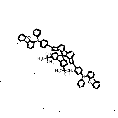 CC(C)(C)c1ccc2c(c1)-c1cc(C(C)(C)C)ccc1C21c2c(ccc3cc(-c4ccc(N(c5ccccc5)c5cccc6c5oc5ccccc56)cc4)ccc23)-c2ccc3cc(-c4ccc(N(c5ccccc5)c5cccc6c5oc5ccccc56)cc4)ccc3c21